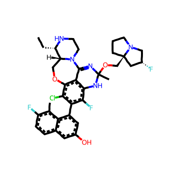 CC[C@@H]1NCCN2C3=NC(C)(OC[C@@]45CCCN4C[C@H](F)C5)Nc4c(F)c(-c5cc(O)cc6ccc(F)c(C)c56)c(Cl)c(c43)OC[C@H]12